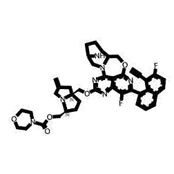 C#Cc1c(F)ccc2cccc(-c3nc4c5c(nc(OC[C@@]67CC[C@@H](COC(=O)N8CCOCC8)N6CC(=C)C7)nc5c3F)N3CC5CCC(N5)C3CO4)c12